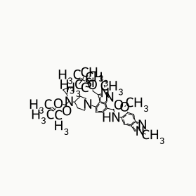 COc1cc2nn(C)cc2cc1NC(=O)c1ccc(N2CCC(N(C(=O)OC(C)(C)C)C3CC3)CC2)c2c(CO[Si](C)(C)C(C)(C)C)n(C)nc12